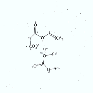 C=COC(=O)CC(=O)O.[Li+].[O-]B(OF)OF